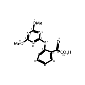 COc1nc(OC)nc(Sc2ccccc2C(=O)C(=O)O)n1